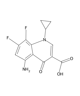 Nc1cc(F)c(F)c2c1c(=O)c(C(=O)O)cn2C1CC1